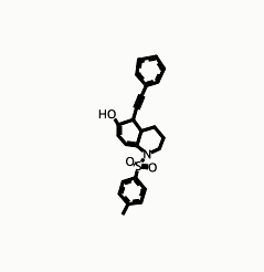 Cc1ccc(S(=O)(=O)N2CCCC3C2=CC=C(O)C3C#Cc2ccccc2)cc1